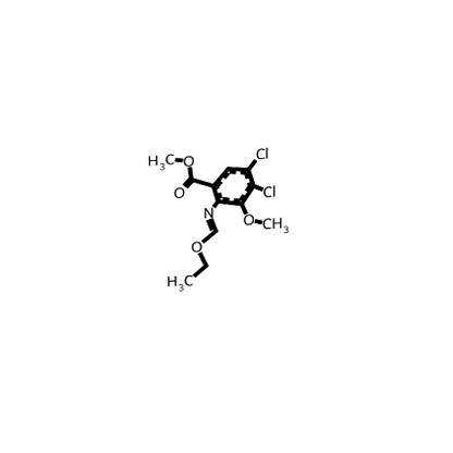 CCOC=Nc1c(C(=O)OC)cc(Cl)c(Cl)c1OC